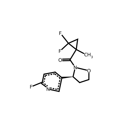 CC1(C(=O)N2OCC[C@H]2c2ccc(F)nc2)CC1(F)F